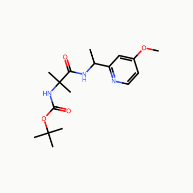 COc1ccnc(C(C)NC(=O)C(C)(C)NC(=O)OC(C)(C)C)c1